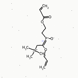 C=CCO/C(C[N+](C)(C)C)=[P+](\[O-])CCOC(=O)C=C